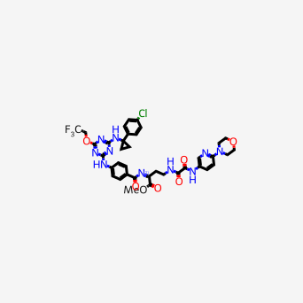 COC(=O)/C(CCNC(=O)C(=O)Nc1ccc(N2CCOCC2)nc1)=N\C(=O)c1ccc(Nc2nc(NC3(c4ccc(Cl)cc4)CC3)nc(OCC(F)(F)F)n2)cc1